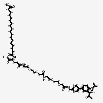 CC(=O)c1nn(C(C)C)c2ccc(-c3cnc(CNC(=O)COCCOCCNC(=O)COCCOCCNC(=O)CC[C@H](NC(=O)CCCCCCCCCCCCCCCCC(=O)O)C(=O)O)nc3)cc12